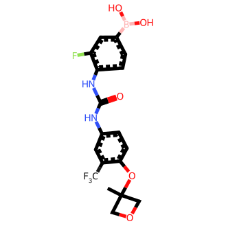 CC1(Oc2ccc(NC(=O)Nc3ccc(B(O)O)cc3F)cc2C(F)(F)F)COC1